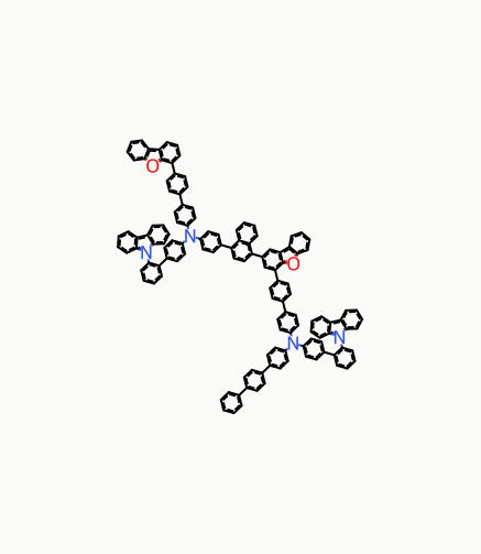 c1ccc(-c2ccc(-c3ccc(N(c4ccc(-c5ccc(-c6cc(-c7ccc(-c8ccc(N(c9ccc(-c%10ccc(-c%11cccc%12c%11oc%11ccccc%11%12)cc%10)cc9)c9ccc(-c%10ccccc%10-n%10c%11ccccc%11c%11ccccc%11%10)cc9)cc8)c8ccccc78)cc7c6oc6ccccc67)cc5)cc4)c4ccc(-c5ccccc5-n5c6ccccc6c6ccccc65)cc4)cc3)cc2)cc1